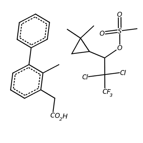 CC1(C)CC1C(OS(C)(=O)=O)C(Cl)(Cl)C(F)(F)F.Cc1c(CC(=O)O)cccc1-c1ccccc1